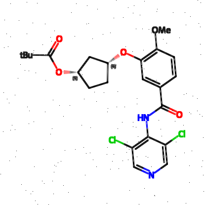 COc1ccc(C(=O)Nc2c(Cl)cncc2Cl)cc1O[C@@H]1CC[C@H](OC(=O)C(C)(C)C)C1